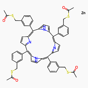 CC(=O)SCc1cccc(-c2c3nc(c(-c4cccc(CSC(C)=O)c4)c4ccc([nH]4)c(-c4cccc(CSC(C)=O)c4)c4nc(c(-c5cccc(CSC(C)=O)c5)c5ccc2[nH]5)C=C4)C=C3)c1.[Zn]